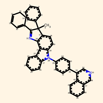 CC1(c2ccccc2)C(C2=CC=CCC2)=Nc2c1ccc1c2c2ccccc2n1-c1ccc(-c2cncc3ccccc23)cc1